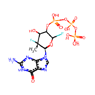 C[C@@]1(F)C(O)C(OP(=O)(O)OP(=O)(O)OP(=O)(O)O)C(F)O[C@H]1n1cnc2c(=O)[nH]c(N)nc21